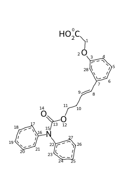 O=C(O)COc1cccc(C=CCCOC(=O)N(c2ccccc2)c2ccccc2)c1